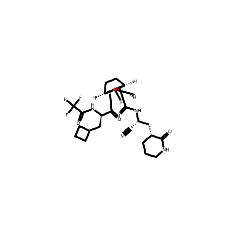 N#C[C@@H](C[C@H]1CCCNC1=O)NC(=O)[C@@H]1[C@@H]2CC[C@@H](CC2(F)F)N1C(=O)[C@@H](CC1CCC1)NC(=O)C(F)(F)F